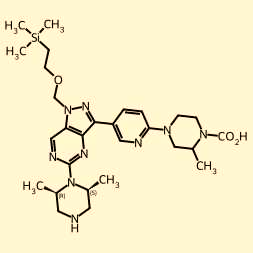 CC1CN(c2ccc(-c3nn(COCC[Si](C)(C)C)c4cnc(N5[C@H](C)CNC[C@@H]5C)nc34)cn2)CCN1C(=O)O